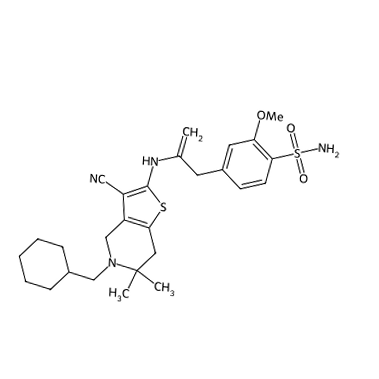 C=C(Cc1ccc(S(N)(=O)=O)c(OC)c1)Nc1sc2c(c1C#N)CN(CC1CCCCC1)C(C)(C)C2